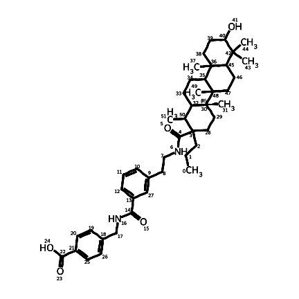 CCCC1(C(=O)NCCc2cccc(C(=O)NCc3ccc(C(=O)O)cc3)c2)CC[C@]2(C)C(CCC3C4(C)CCC(O)C(C)(C)C4CCC32C)C1C